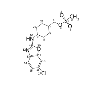 CS(=O)(=O)OCC1CCC(Nc2nc3ccc(Cl)cc3o2)CC1